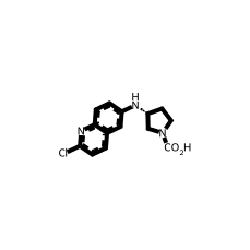 O=C(O)N1CC[C@@H](Nc2ccc3nc(Cl)ccc3c2)C1